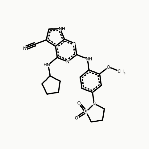 COc1cc(N2CCCS2(=O)=O)ccc1Nc1nc(NC2CCCC2)c2c(C#N)c[nH]c2n1